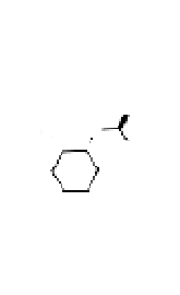 O=C(Cl)O[C@H]1CCCC[C@@H]1Cl